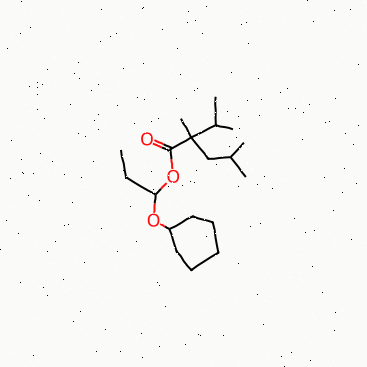 CCC(OC(=O)C(C)(CC(C)C)C(C)C)OC1CCCCC1